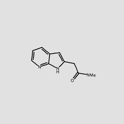 CNC(=O)Cc1cc2cccnc2[nH]1